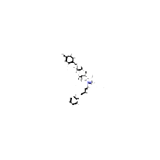 N/C(=N\C(=O)c1nc(Cl)c(NCc2ccc(I)cc2)nc1N)NCCCOc1ccccc1